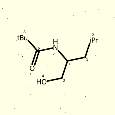 CC(C)CC(CO)NC(=O)C(C)(C)C